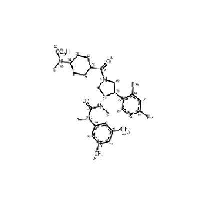 CN(C(=O)N(C)[C@@H]1CN(C(=O)C2CCC(N(C)C(=O)O)CC2)C[C@H]1c1ccc(F)cc1F)c1cc(C(F)(F)F)cc(C(F)(F)F)c1